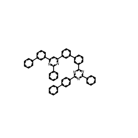 c1ccc(-c2ccc(-c3nc(-c4ccccc4)nc(-c4cccc(-c5cccc(-c6cc(-c7cccc(-c8ccccc8)c7)nc(-c7ccccc7)n6)c5)c4)n3)cc2)cc1